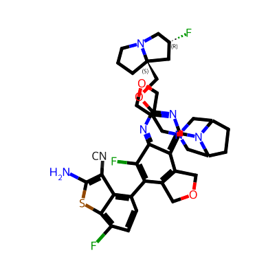 N#Cc1c(N)sc2c(F)ccc(-c3c4c(c5c(N6C7CCC6CN(CC6COC6)C7)nc(OC[C@@]67CCCN6C[C@H](F)C7)nc5c3F)COC4)c12